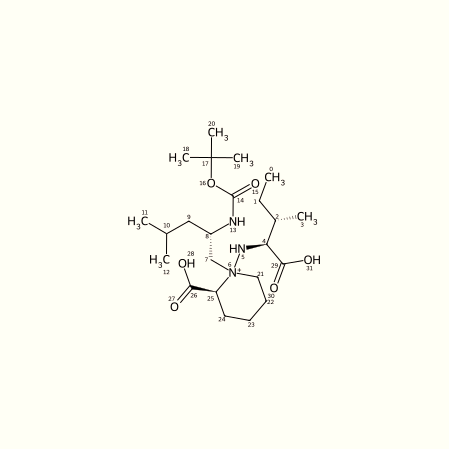 CC[C@H](C)[C@H](N[N+]1(C[C@H](CC(C)C)NC(=O)OC(C)(C)C)CCCC[C@H]1C(=O)O)C(=O)O